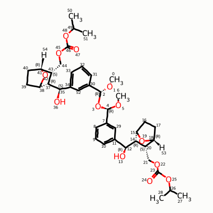 CO[C@H](O[C@@H](OC)c1cccc([C@H](O)[C@@H]2C3CC[C@@H](O3)[C@@H]2COC(=O)OC(C)C)c1)c1cccc([C@@H](O)[C@@H]2C3CC[C@@H](O3)[C@@H]2COC(=O)OC(C)C)c1